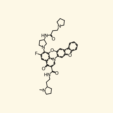 CN1CCCC1CCNC(=O)c1cn2c3c(c(N4CC[C@@H](NC(=O)CCN5CCCC5)C4)c(F)cc3c1=O)Oc1cc3c(cc1-2)oc1ccccc13